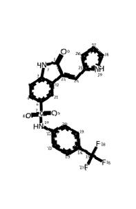 O=C1Nc2ccc(S(=O)(=O)Nc3ccc(C(F)(F)F)cc3)cc2C1=Cc1ccc[nH]1